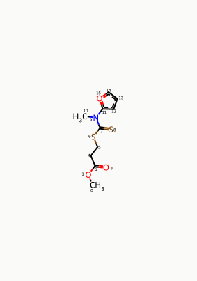 COC(=O)CCSC(=S)N(C)c1ccco1